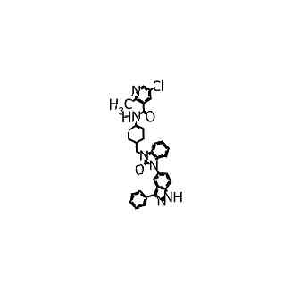 Cc1ncc(Cl)cc1C(=O)NC1CCC(Cn2c(=O)n(-c3ccc4[nH]nc(-c5ccccc5)c4c3)c3ccccc32)CC1